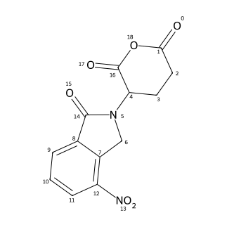 O=C1CCC(N2Cc3c(cccc3[N+](=O)[O-])C2=O)C(=O)O1